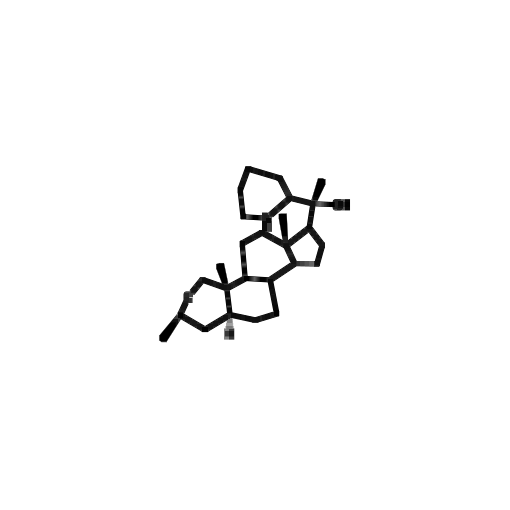 C[C@H]1CC[C@]2(C)C3CC[C@@]4(C)C(CCC4[C@@](C)(O)C4CCCCN4)C3CC[C@H]2C1